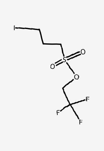 O=S(=O)(CCCI)OCC(F)(F)F